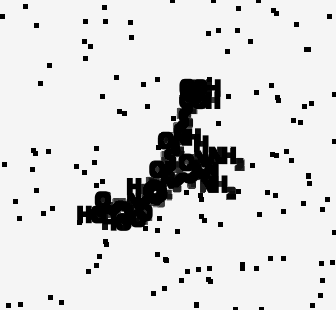 Nc1nc(N)c(CCCN(C(=O)CSCC(=O)NCCCCOP(=O)(O)O)c2ccc(C(=O)NC(CCC(=O)O)C(=O)O)cc2)c(=O)[nH]1